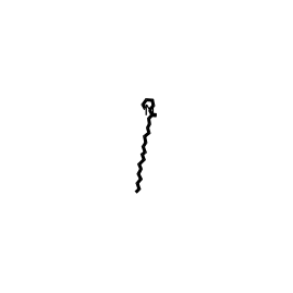 C=C(CCCCCCCCCCCCCCCCC)N1CCCCC1